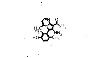 Cc1ccc(O)c(C)c1-c1c(N)c(C(N)=O)c2nccc(C)n12